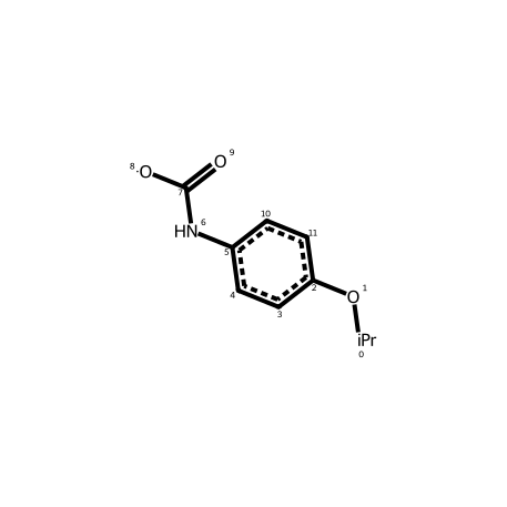 CC(C)Oc1ccc(NC([O])=O)cc1